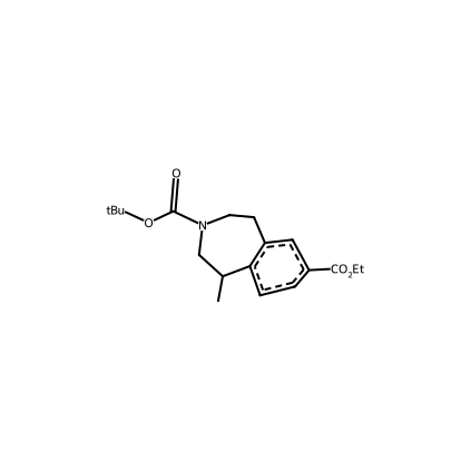 CCOC(=O)c1ccc2c(c1)CCN(C(=O)OC(C)(C)C)CC2C